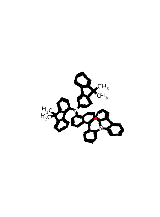 CC1(C)c2ccccc2-c2cc(N(c3cccc4c3-c3ccccc3C4(C)C)c3cccc4c(-c5ccccc5-n5c6ccccc6c6ccccc65)cccc34)ccc21